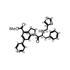 COC(=O)c1cc(-c2ccncc2)cc2c1CCN2C(=O)[C@H](Cc1ccccc1)NCc1cscn1